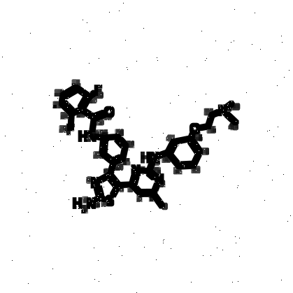 Cc1cc(-c2sc(N)nc2-c2cccc(NC(=O)c3c(F)cccc3F)c2)nc(Nc2cccc(OCCN(C)C)c2)n1